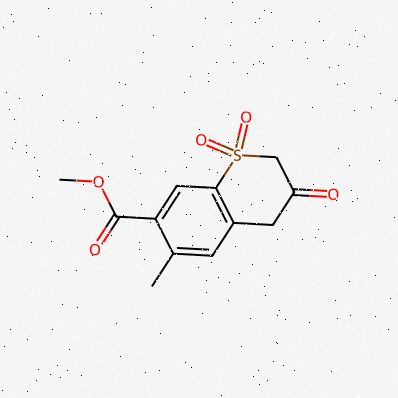 COC(=O)c1cc2c(cc1C)CC(=O)CS2(=O)=O